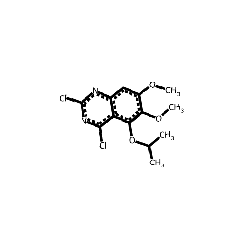 COc1cc2nc(Cl)nc(Cl)c2c(OC(C)C)c1OC